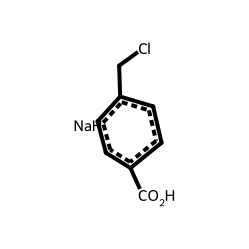 O=C(O)c1ccc(CCl)cc1.[NaH]